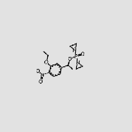 CCOc1cc(C(C)OP(=O)(N2CC2)N2CC2)ccc1[N+](=O)[O-]